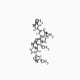 Cc1cc(-c2ccc3nnc([C@H](C)N4C=CC5(C)N=CC(c6cnn(C)c6)=CC5C4=O)n3c2)on1